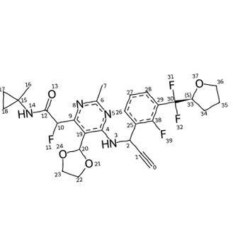 C#CC(Nc1nc(C)nc(C(F)C(=O)NC2(C)CC2)c1C1OCCO1)c1cccc(C(F)(F)[C@@H]2CCCO2)c1F